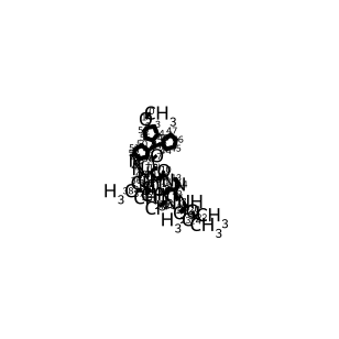 COc1ccc(C(OC[C@H]2O[C@@H](n3cnc4c(NC(=O)OC(C)(C)C)nc(Cl)nc43)C(O[Si](C)(C)C(C)(C)C)C2N=[N+]=[N-])(c2ccccc2)c2ccccc2)cc1